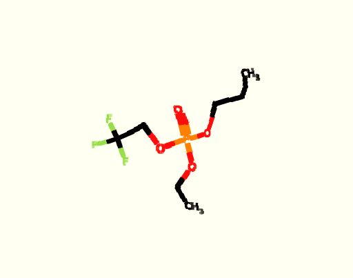 CCCOP(=O)(OCC)OCC(F)(F)F